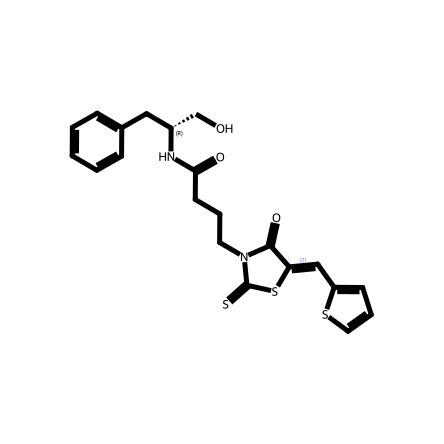 O=C(CCCN1C(=O)/C(=C/c2cccs2)SC1=S)N[C@@H](CO)Cc1ccccc1